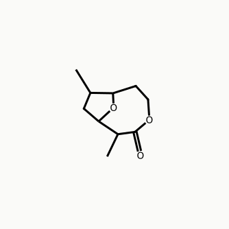 CC1CC2OC1CCOC(=O)C2C